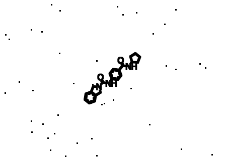 O=C(NC1CCCC1)c1ccc(NC(=O)N2Cc3ccccc3C2)cc1